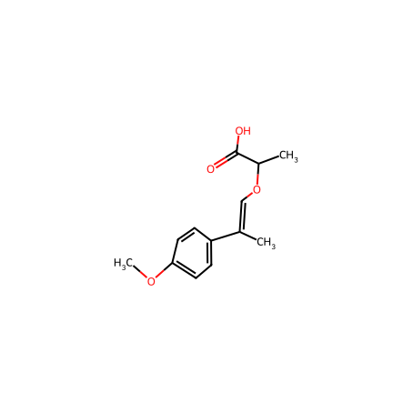 COc1ccc(C(C)=COC(C)C(=O)O)cc1